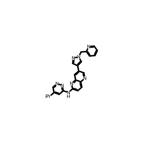 CC(C)c1cnnc(Nc2ccc3ncc(-c4cnn(Cc5ccccn5)c4)cc3n2)c1